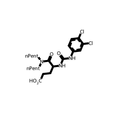 CCCCCN(CCCCC)C(=O)C(CCC(=O)O)NC(=O)Nc1ccc(Cl)c(Cl)c1